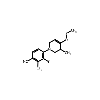 CC1CN(c2ccc(C#N)c(C(F)(F)F)c2F)CC=C1OSC(F)(F)F